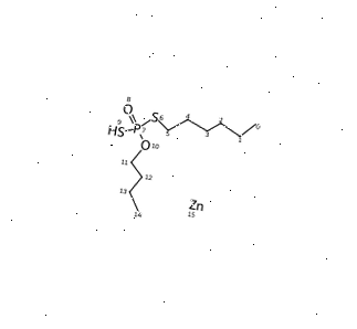 CCCCCCSP(=O)(S)OCCCC.[Zn]